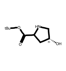 CC(C)(C)OC(=O)C1C[C@@H](O)CN1